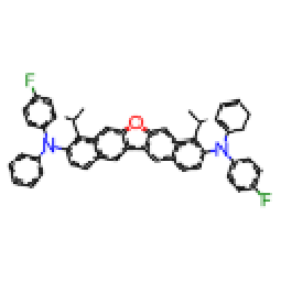 CC(C)c1c(N(C2=CC=CCC2)c2ccc(F)cc2)ccc2cc3c(cc12)oc1cc2c(C(C)C)c(N(c4ccccc4)c4ccc(F)cc4)ccc2cc13